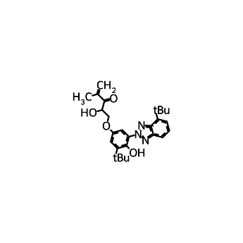 C=C(C)C(=O)C(O)COc1cc(-n2nc3cccc(C(C)(C)C)c3n2)c(O)c(C(C)(C)C)c1